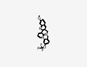 COc1ccc2cc(CNCc3ccc(OC(F)(F)F)cc3)c(-c3cccnc3)nc2c1